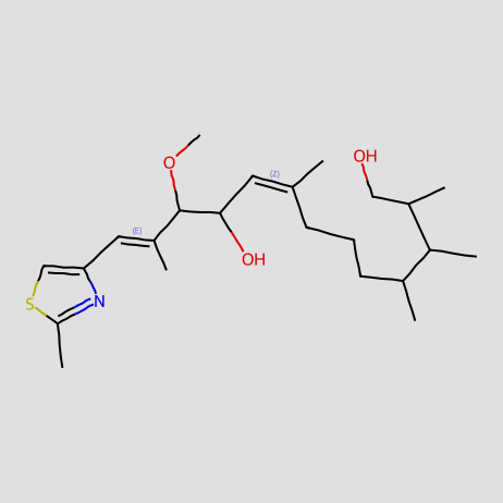 COC(/C(C)=C/c1csc(C)n1)C(O)/C=C(/C)CCCC(C)C(C)C(C)CO